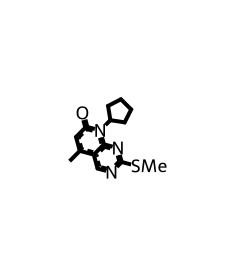 CSc1ncc2c(C)cc(=O)n(C3CCCC3)c2n1